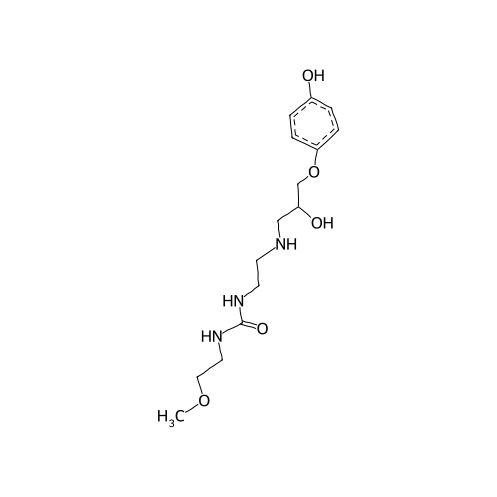 COCCNC(=O)NCCNCC(O)COc1ccc(O)cc1